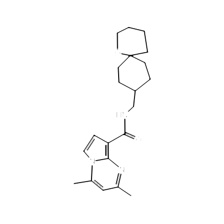 Cc1cc(C)n2ccc(C(=O)NCC3CCC4(CCCCO4)CC3)c2n1